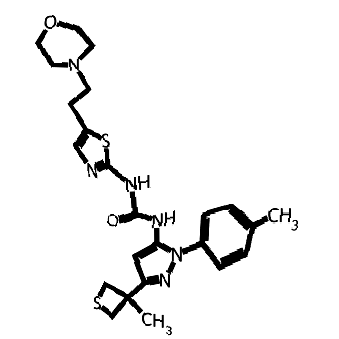 Cc1ccc(-n2nc(C3(C)CSC3)cc2NC(=O)Nc2ncc(CCN3CCOCC3)s2)cc1